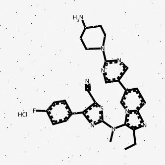 CCc1nc2ccc(-c3cnc(N4CCC(N)CC4)nc3)cn2c1N(C)c1nc(-c2ccc(F)cc2)c(C#N)s1.Cl